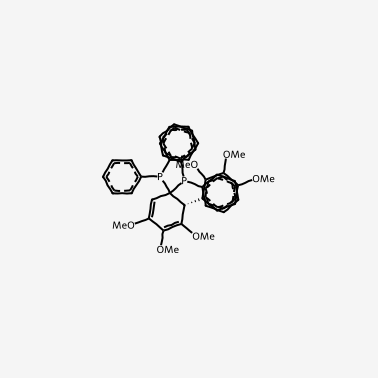 COC1=CC(P(c2ccccc2)c2ccccc2)(P(c2ccccc2)c2ccccc2)[C@H](c2ccc(OC)c(OC)c2OC)C(OC)=C1OC